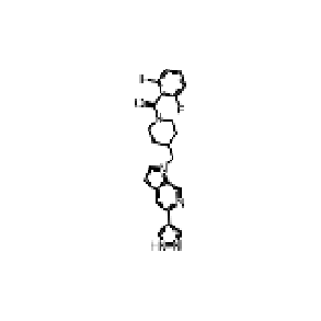 O=C(c1c(F)cccc1F)N1CCC(Cn2ccc3cc(-c4cn[nH]c4)ncc32)CC1